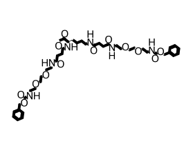 CC(=O)[C@H](CCCCNC(=O)CCC(=O)NCCOCCOCCNC(=O)OCc1ccccc1)NC(=O)CCC(=O)NCCOCCOCCNC(=O)OCc1ccccc1